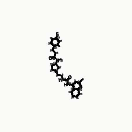 Cc1cc(NC(=O)NCCN2CCC(N(C)C(=O)CCc3ccc(F)cc3)C2)c2ccccc2n1